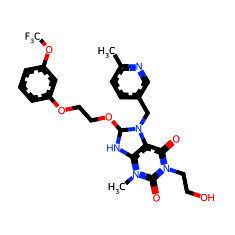 Cc1ccc(CN2c3c(n(C)c(=O)n(CCO)c3=O)NC2OCCOc2cccc(OC(F)(F)F)c2)cn1